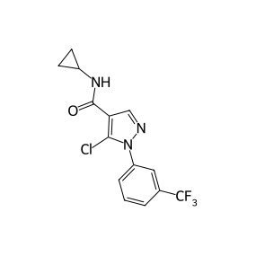 O=C(NC1CC1)c1cnn(-c2cccc(C(F)(F)F)c2)c1Cl